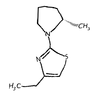 CCc1csc(N2CCC[C@@H]2C)n1